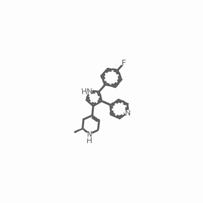 CC1CC(c2c[nH]c(-c3ccc(F)cc3)c2-c2ccncc2)=CCN1